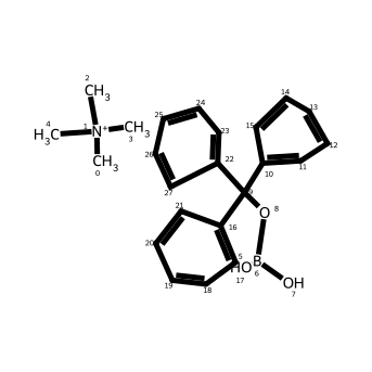 C[N+](C)(C)C.OB(O)OC(c1ccccc1)(c1ccccc1)c1ccccc1